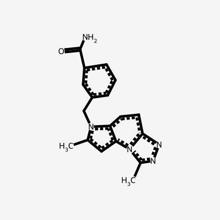 Cc1cc2c(ccc3nnc(C)n32)n1Cc1cccc(C(N)=O)c1